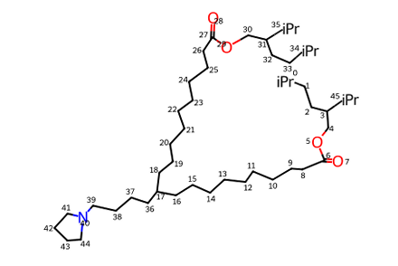 CC(C)CCC(COC(=O)CCCCCCCCCC(CCCCCCCCCC(=O)OCC(CCC(C)C)C(C)C)CCCCN1CCCC1)C(C)C